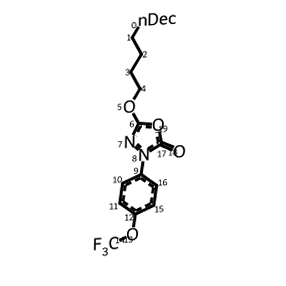 CCCCCCCCCCCCCCOc1nn(-c2ccc(OC(F)(F)F)cc2)c(=O)o1